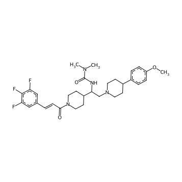 COc1ccc(C2CCN(CC(NC(=O)N(C)C)C3CCN(C(=O)C=Cc4cc(F)c(F)c(F)c4)CC3)CC2)cc1